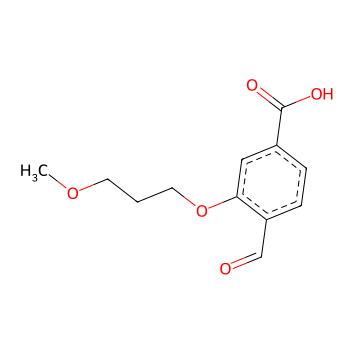 COCCCOc1cc(C(=O)O)ccc1C=O